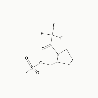 CS(=O)(=O)OCC1CCCN1C(=O)C(F)(F)F